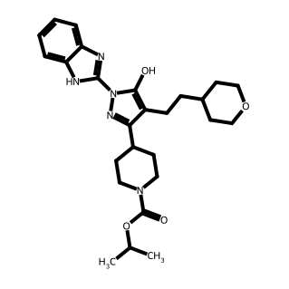 CC(C)OC(=O)N1CCC(c2nn(-c3nc4ccccc4[nH]3)c(O)c2CCC2CCOCC2)CC1